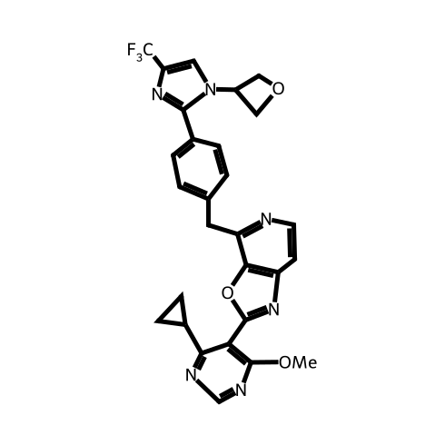 COc1ncnc(C2CC2)c1-c1nc2ccnc(Cc3ccc(-c4nc(C(F)(F)F)cn4C4COC4)cc3)c2o1